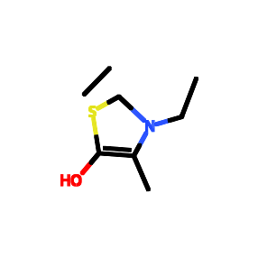 CC.CCN1CSC(O)=C1C